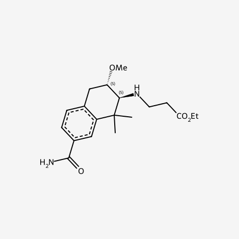 CCOC(=O)CCN[C@@H]1[C@@H](OC)Cc2ccc(C(N)=O)cc2C1(C)C